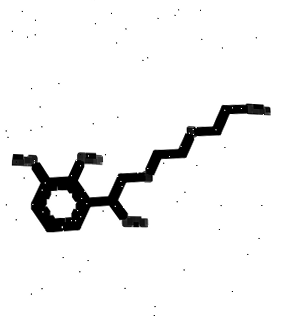 COCCOCCOCC(OC)c1cccc(OC)c1OC